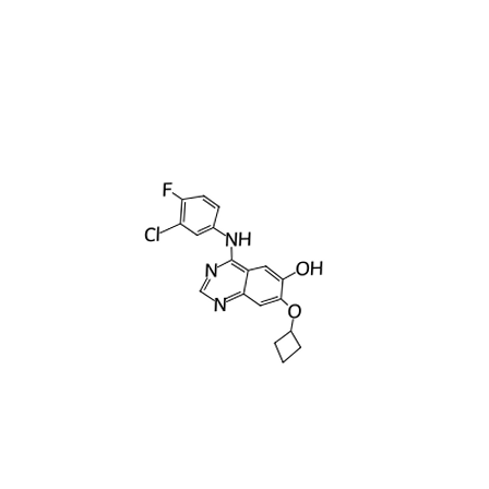 Oc1cc2c(Nc3ccc(F)c(Cl)c3)ncnc2cc1OC1CCC1